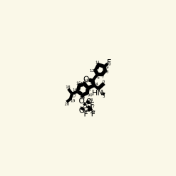 C=C(NC)c1c(-c2ccc(F)cc2)oc2cc(C(C)CC)c(OS(=O)(=O)C(F)(F)F)cc12